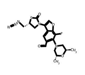 C[C@@H]1CN(c2c(C=O)cc3c(N4C[C@H](CN=[N+]=[N-])SC4=O)coc3c2F)C[C@@H](C)O1